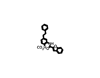 O=C(Nc1cc(CCc2ccccc2)ccc1C(=O)O)c1cc2ccccc2o1